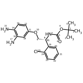 CC(C)(C)OC(=O)N[C@@H](COc1ccc(N)c(N)c1)c1ccccc1Cl